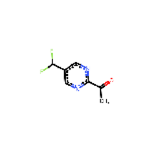 CC(=O)c1ncc(C(F)F)cn1